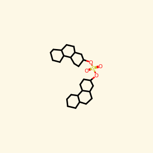 O=S(=O)(OC1CCC2C(CCC3CCCCC32)C1)OC1CCC2C(CCC3CCCCC32)C1